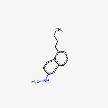 CCCCc1cccc2cc(NC)ccc12